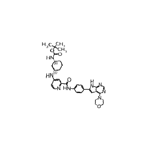 CC(C)(C)OC(=O)N[C@@H]1CCC[C@H](Nc2ccnc(C(=O)Nc3ccc(-c4cc5c(N6CCOCC6)ncnc5[nH]4)cc3)c2)C1